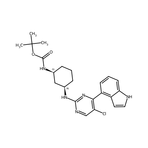 CC(C)(C)OC(=O)N[C@H]1CCC[C@@H](Nc2ncc(Cl)c(-c3cccc4[nH]ccc34)n2)C1